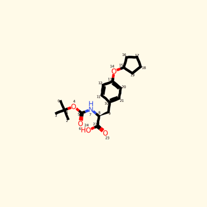 CC(C)(C)OC(=O)N[C@@H](Cc1ccc(OC2CCCC2)cc1)C(=O)O